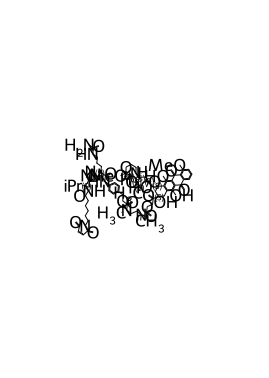 COc1cccc2c1C(=O)c1c(O)c3c(c(O)c1C2=O)C[C@@](O)(C(=O)COC(=O)N(C)CCN(C)C(=O)OCc1ccc(NC(=O)[C@H](CCCNC(N)=O)n2cc([C@@H](NC(=O)CCCCCN4C(=O)C=CC4=O)C(C)C)nn2)cc1)C[C@@H]3O[C@H]1C[C@H]2[C@H](O[C@@H]3[C@@H](OC)OCCN32)[C@H](C)O1